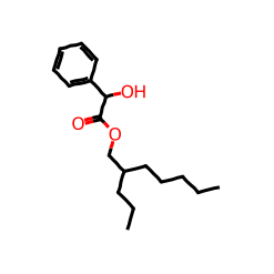 CCCCCC(CCC)COC(=O)C(O)c1ccccc1